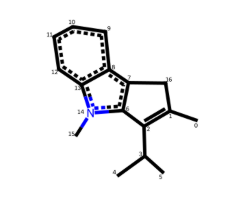 CC1=C(C(C)C)c2c(c3ccccc3n2C)C1